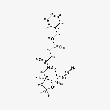 CC1(C)O[C@@H]2[C@@H](N=[N+]=[N-])CN(C(=O)CCC(=O)OCc3ccccc3)C[C@@H]2O1